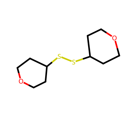 C1CC(SSC2CCOCC2)CCO1